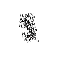 Cc1cc(C)c(-c2ccc3c(c2)B2c4c(cc(-c5ccccc5)cc4-n4c5ccc(-c6c(C)cc(Cc7c(C)cc(C)c(-c8ccc9c(c8)B8c%10c(cc(-c%11ccccc%11-c%11ccccc%11)cc%10-n%10c%11ccc(-c%12c(C)cc(C)cc%12C)cc%11c%11cc(-c%12c(C)cc(C)cc%12C)cc8c%11%10)O9)c7C)cc6C)cc5c5cc(-c6c(C)cc(C)cc6C)cc2c54)O3)c(C)c1